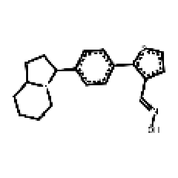 ON=Cc1ccsc1-c1ccc([C@@H]2CCC3CCCCN32)cc1